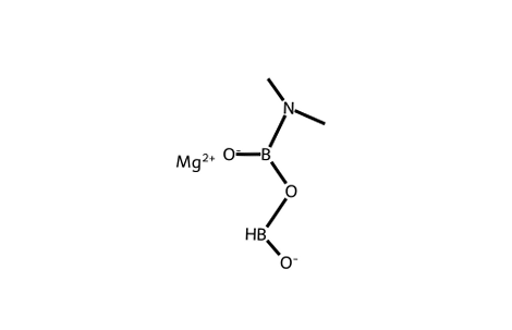 CN(C)B([O-])OB[O-].[Mg+2]